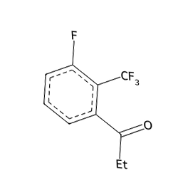 CCC(=O)c1cccc(F)c1C(F)(F)F